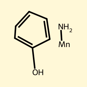 Oc1ccccc1.[NH2][Mn]